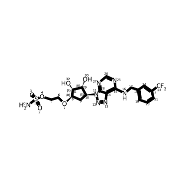 NS(=O)(=O)OCCO[C@@H]1C[C@H](n2nnc3c(NCc4cccc(C(F)(F)F)c4)ncnc32)[C@@H](O)[C@H]1O